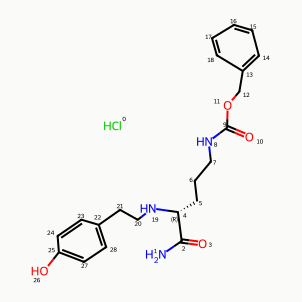 Cl.NC(=O)[C@@H](CCCNC(=O)OCc1ccccc1)NCCc1ccc(O)cc1